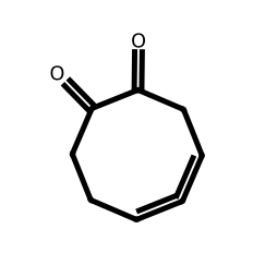 O=C1CC=C=CCCC1=O